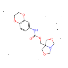 O=C(Nc1ccc2c(c1)OCCO2)OCC12COCN1COC2